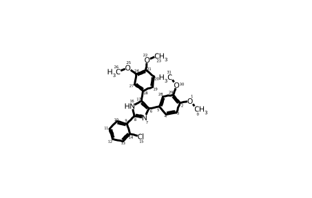 COc1ccc(-c2nc(-c3ccccc3Cl)[nH]c2-c2ccc(OC)c(OC)c2)cc1OC